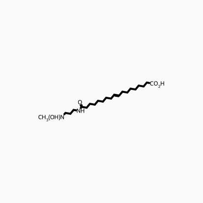 CN(O)CCCNC(=O)CCCCCCC/C=C/CCCCCCCC(=O)O